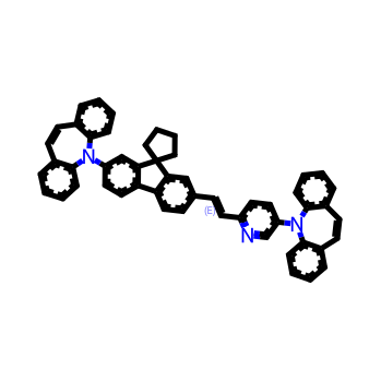 C1=Cc2ccccc2N(c2ccc(/C=C/c3ccc4c(c3)C3(CCCC3)c3cc(N5c6ccccc6C=Cc6ccccc65)ccc3-4)nc2)c2ccccc21